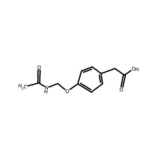 CC(=O)NCOc1ccc(CC(=O)O)cc1